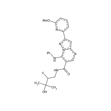 COc1cccc(-c2cc3ncc(C(=O)NCC(F)C(C)(C)O)c(NC(C)C)n3n2)n1